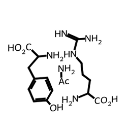 CC(N)=O.N=C(N)NCCCC(N)C(=O)O.NC(Cc1ccc(O)cc1)C(=O)O